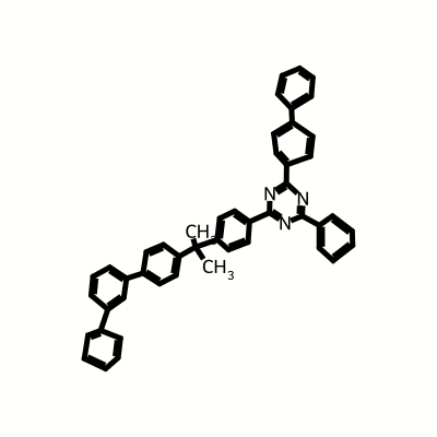 CC(C)(c1ccc(-c2cccc(-c3ccccc3)c2)cc1)c1ccc(-c2nc(-c3ccccc3)nc(-c3ccc(-c4ccccc4)cc3)n2)cc1